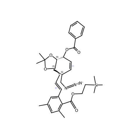 Cc1cc(C)c(C(=O)OCC[Si](C)(C)C)c(/C=C/C[C@@H]2OC(C)(C)O[C@@H]2C(/C=C\[C@H](C)CN=[N+]=[N-])OC(=O)c2ccccc2)c1